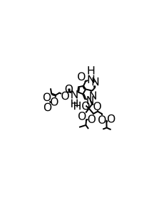 Cc1oc(=O)oc1COC(=O)Nc1cc2c(=O)[nH]ncc3nn(C4OC(COC(=O)C(C)C)C(OC(=O)C(C)C)C4(C)O)cc1c32